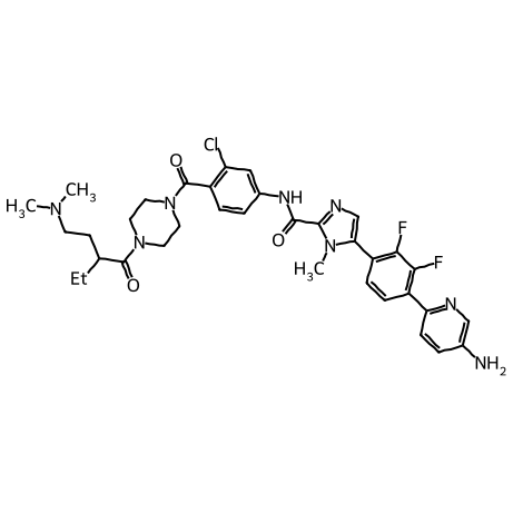 CCC(CCN(C)C)C(=O)N1CCN(C(=O)c2ccc(NC(=O)c3ncc(-c4ccc(-c5ccc(N)cn5)c(F)c4F)n3C)cc2Cl)CC1